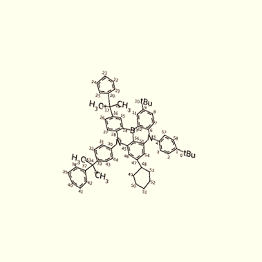 CC(C)(C)c1ccc(N2c3ccc(C(C)(C)C)cc3B3c4cc(C(C)(C)c5ccccc5)ccc4N(c4ccc(C(C)(C)c5ccccc5)cc4)c4cc(C5CCCCC5)cc2c43)cc1